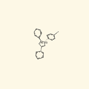 Cc1ccc([C@@H]2C=C(c3ccccc3)C[C@H]2c2ccccc2)cc1